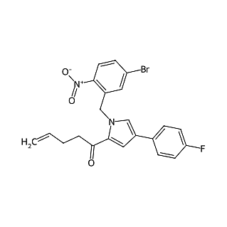 C=CCCC(=O)c1cc(-c2ccc(F)cc2)cn1Cc1cc(Br)ccc1[N+](=O)[O-]